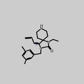 C=C/C=C1/N(Cc2cc(C)cc(C)c2)C(=O)N(CC)C12CCNCC2